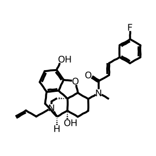 C=CCN1CC[C@]23c4c5ccc(O)c4OC2C(N(C)C(=O)/C=C/c2cccc(F)c2)CC[C@@]3(O)[C@H]1C5